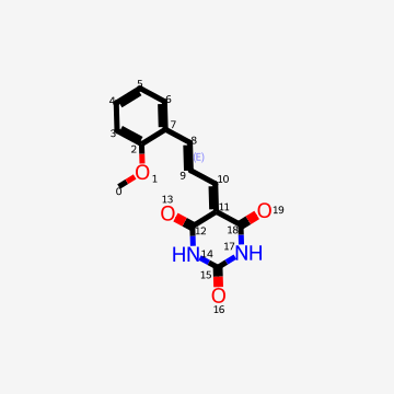 COc1ccccc1/C=C/C=C1C(=O)NC(=O)NC1=O